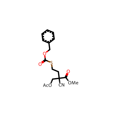 COC(=O)C(C#N)(CCSC(=O)OCc1ccccc1)COC(C)=O